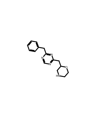 c1ccc(Cc2ncnc(CC3CNCCO3)n2)cc1